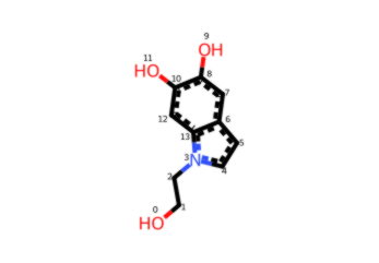 OCCn1ccc2cc(O)c(O)cc21